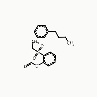 CCCCc1ccccc1.CCS(=O)(=O)c1ccccc1OC=O